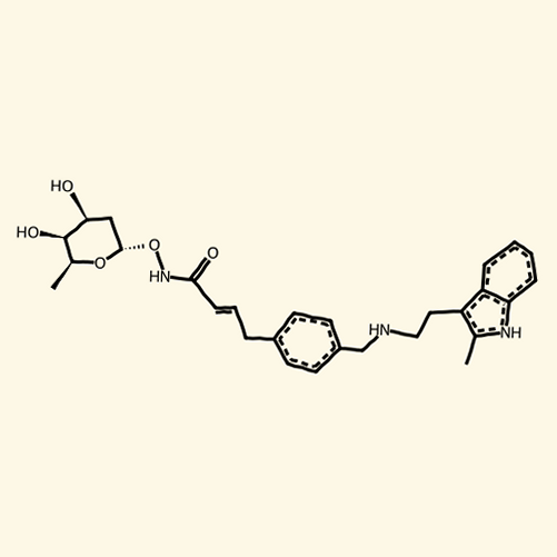 Cc1[nH]c2ccccc2c1CCNCc1ccc(C/C=C/C(=O)NO[C@H]2C[C@H](O)[C@H](O)[C@H](C)O2)cc1